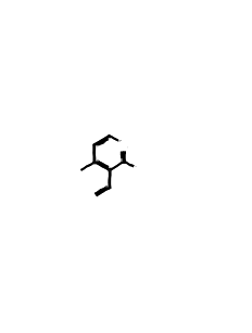 C=Cc1c(C)ccnc1C(=O)O